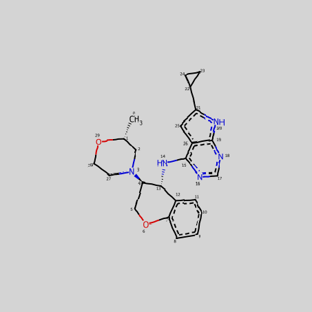 C[C@@H]1CN([C@@H]2COc3ccccc3[C@H]2Nc2ncnc3[nH]c(C4CC4)cc23)CCO1